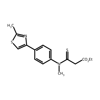 CCOC(=O)CC(=S)N(C)c1ccc(-c2csc(C)n2)cc1